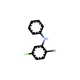 CCc1ccc(F)cc1Nc1ccccc1